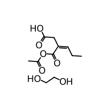 CCC=C(CC(=O)O)C(=O)OC(C)=O.OCCO